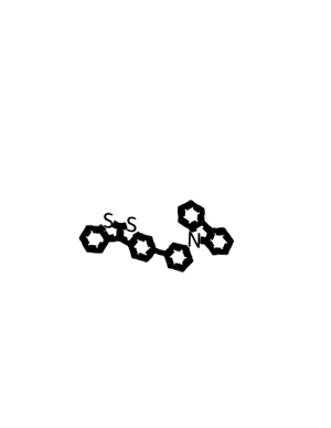 c1cc(-c2ccc3c(c2)sc2sc4ccccc4c23)cc(-n2c3ccccc3c3ccccc32)c1